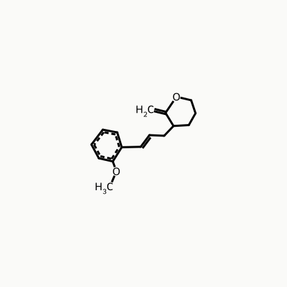 C=C1OCCCC1C/C=C/c1ccccc1OC